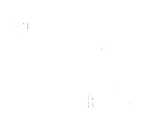 CC1Oc2cc([N+](=O)[O-])ccc2NC1=S